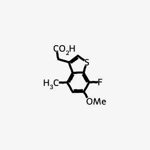 COc1cc(C)c2c(CC(=O)O)csc2c1F